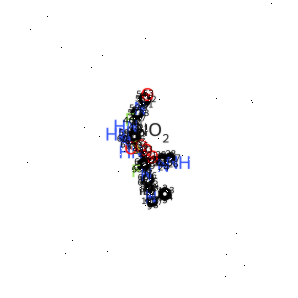 CC(C)c1ccccc1[C@@H]1CCCN1C1CC2(CCN(c3cc(Oc4cnc5[nH]ccc5c4)c(C(=O)NS(=O)(=O)c4cc([N+](=O)[O-])c(NCC5(F)CCN(C6CCOCC6)CC5)c5[nH]cnc45)cc3F)CC2)C1